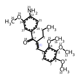 CCC/C(=C\c1ccc(OC)c(OC)c1OC)C(=O)c1ccc(N)c(OC)c1